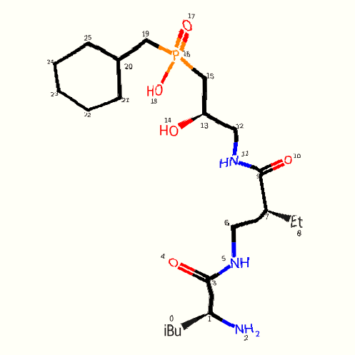 CCC(C)[C@H](N)C(=O)NC[C@H](CC)C(=O)NC[C@@H](O)CP(=O)(O)CC1CCCCC1